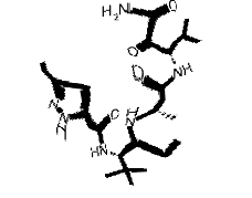 CC=C(N[C@@H](C)C(=O)N[C@H](C(=O)C(N)=O)C(C)C)[C@@H](NC(=O)c1cc(C)n[nH]1)C(C)(C)C